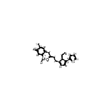 CCC1C(CCC(=O)Cc2cc(C)c(C)cc2OC)=CC=C1c1ccco1